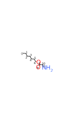 CCCCCCCOC(=O)CN